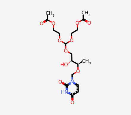 CC(=O)OCCOC(OCCOC(C)=O)OC[C@@H](O)[C@@H](C)OCn1ccc(=O)[nH]c1=O